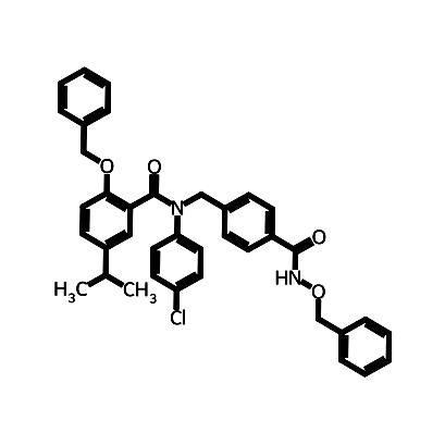 CC(C)c1ccc(OCc2ccccc2)c(C(=O)N(Cc2ccc(C(=O)NOCc3ccccc3)cc2)c2ccc(Cl)cc2)c1